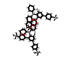 C[Si](C)(C)c1ccc(-c2cc(F)c(N(c3ccccc3)c3ccc4ccc5c(N(c6ccccc6)c6c(F)cc(-c7ccc([Si](C)(C)C)cc7)cc6-c6ccc([Si](C)(C)C)cc6)ccc6ccc3c4c65)c(-c3ccc([Si](C)(C)C)cc3)c2)cc1